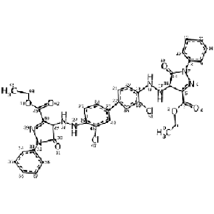 CCOC(=O)C1=NN(c2ccccc2)C(=O)C1NNc1ccc(-c2ccc(NNC3C(=O)N(c4ccccc4)N=C3C(=O)OCC)c(Cl)c2)cc1Cl